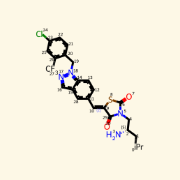 CC(C)C[C@H](N)CN1C(=O)S/C(=C\c2ccc3c(cnn3Cc3ccc(Cl)cc3C(F)(F)F)c2)C1=O